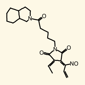 C=C/C(N=O)=C1/C(=O)N(CCCCC(=O)N2CCC3CCCCC3C2)C(=O)/C1=C/C